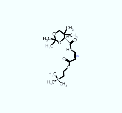 CC1(C)OCC(C)(C)[C@H](C(=O)N/C=C\C(=O)OCC[Si](C)(C)C)O1